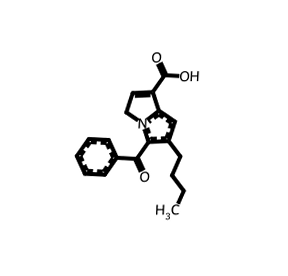 CCCCc1cc2n(c1C(=O)c1ccccc1)CC=C2C(=O)O